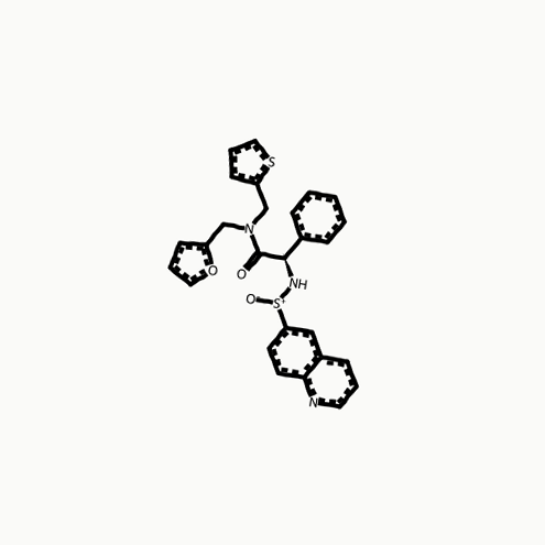 O=C([C@H](N[S+]([O-])c1ccc2ncccc2c1)c1ccccc1)N(Cc1ccco1)Cc1cccs1